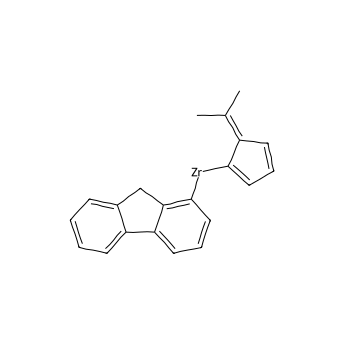 CC(C)=C1C=CC=[C]1[Zr][c]1cccc2c1Cc1ccccc1-2